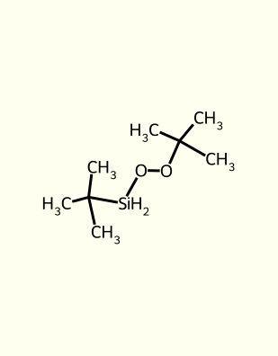 CC(C)(C)OO[SiH2]C(C)(C)C